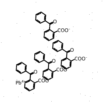 O=C([O-])c1ccccc1C(=O)c1ccccc1.O=C([O-])c1ccccc1C(=O)c1ccccc1.O=C([O-])c1ccccc1C(=O)c1ccccc1.O=C([O-])c1ccccc1C(=O)c1ccccc1.[Pb+4]